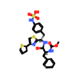 COC(=O)N[C@@H](Cc1ccccc1)C(=O)N[C@@H](Cc1ccc(NS(=O)(=O)O)cc1)c1nc(C2CC=CS2)cs1